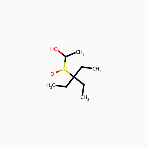 CCC(CC)(CC)[S+]([O-])C(C)O